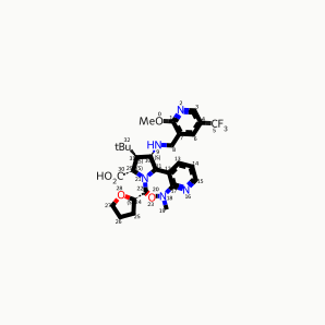 COc1ncc(C(F)(F)F)cc1CN[C@@H]1C(c2cccnc2N(C)C)N(C(=O)[C@@H]2CCCO2)[C@H](C(=O)O)[C@H]1C(C)(C)C